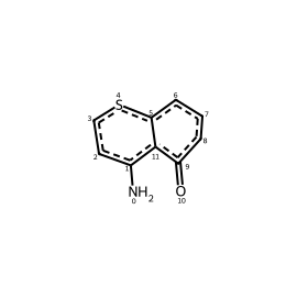 Nc1ccsc2cccc(=O)c1-2